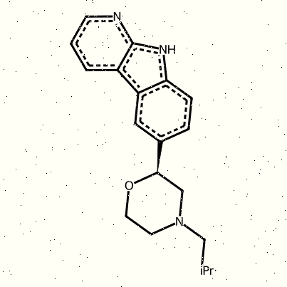 C[C](C)CN1CCO[C@@H](c2ccc3[nH]c4ncccc4c3c2)C1